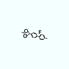 Cc1ccc(-c2ccc(C3COC(C)OC3)cc2)c(F)c1